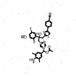 CNc1c(C)cc(C(OC(C)=O)[n+]2cnn(C[C@](O)(c3cc(F)ccc3F)[C@@H](C)c3nc(-c4ccc(C#N)cc4)cs3)c2)cc1C.Cl.[Cl-]